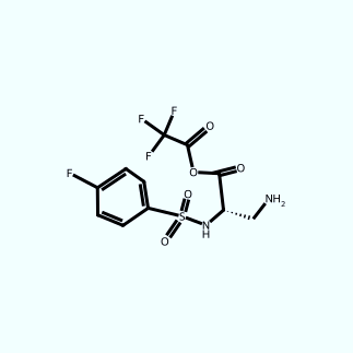 NC[C@H](NS(=O)(=O)c1ccc(F)cc1)C(=O)OC(=O)C(F)(F)F